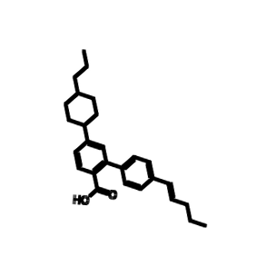 CCCC=Cc1ccc(-c2cc(C3CCC(CCC)CC3)ccc2C(=O)O)cc1